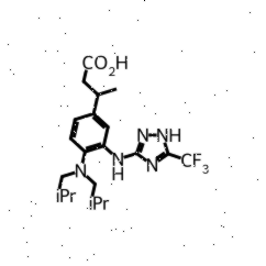 CC(C)CN(CC(C)C)c1ccc(C(C)CC(=O)O)cc1Nc1n[nH]c(C(F)(F)F)n1